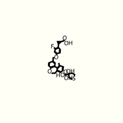 Cc1cc(OC(O)(O)C2(O)CCSCC2)cc2c1-c1cc(COc3ccc(C4CC4C(=O)O)c(F)c3)ccc1OCC2